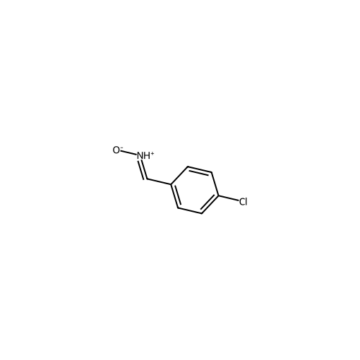 [O-][NH+]=Cc1ccc(Cl)cc1